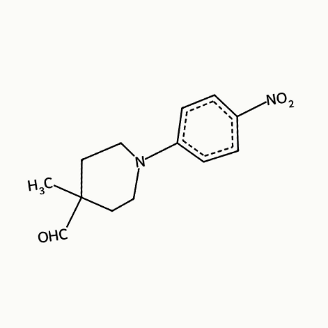 CC1(C=O)CCN(c2ccc([N+](=O)[O-])cc2)CC1